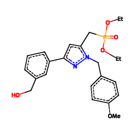 CCOP(=O)(Cc1cc(-c2cccc(CO)c2)nn1Cc1ccc(OC)cc1)OCC